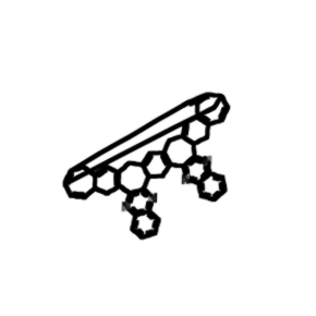 C1=CC2CC3=C4C=C2CC2=C1CC1C=CC5=C(C=C6CC7=C(CC(C(=C7)C4)c4nc7ccccc7nc43)c3nc4ccccc4nc3C6C5)CC1=C2